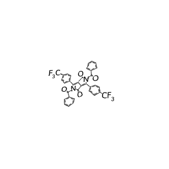 O=C1C2=C(c3ccc(C(F)(F)F)cc3)N(C(=O)c3ccccc3)C(=O)C2=C(c2ccc(C(F)(F)F)cc2)N1C(=O)c1ccccc1